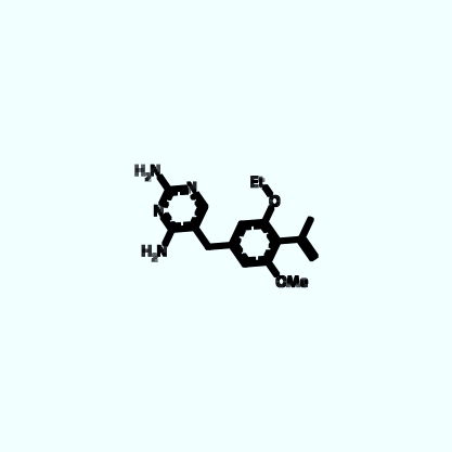 C=C(C)c1c(OC)cc(Cc2cnc(N)nc2N)cc1OCC